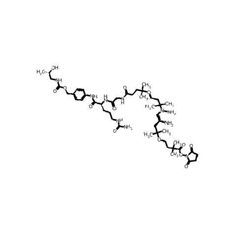 C[C@H](O)CNC(=O)OCc1ccc(NC(=O)[C@H](CCCNC(N)=O)NC(=O)CNC(=O)CCC(C)(C)OCCC(C)(C)N(N)/C=C(\N)CC(C)(C)OCCC(C)(C)C(=O)ON2C(=O)CCC2=O)cc1